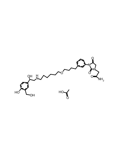 CC(=O)O.NC(=O)CN1CC(=O)N(c2cccc(CCCCOCCCCCCNC[C@H](O)c3ccc(O)c(CO)c3)c2)C1=O